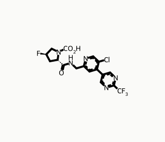 O=C(NCc1cc(-c2cnc(C(F)(F)F)nc2)c(Cl)cn1)[C@@H]1C[C@@H](F)CN1C(=O)O